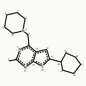 Cc1nc(CN2CCCCC2)c2cc(C3CCCCC3)sc2n1